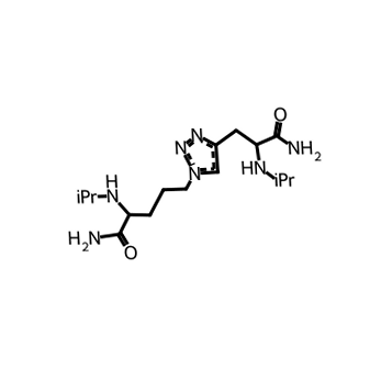 CC(C)NC(CCCn1cc(CC(NC(C)C)C(N)=O)nn1)C(N)=O